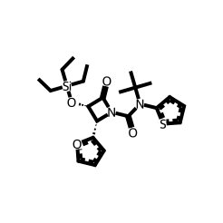 CC[Si](CC)(CC)O[C@@H]1C(=O)N(C(=O)N(c2cccs2)C(C)(C)C)[C@@H]1c1ccco1